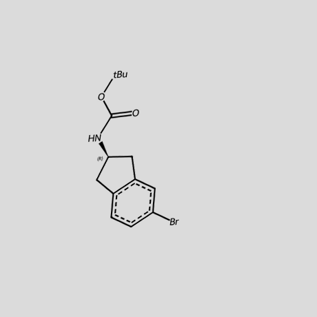 CC(C)(C)OC(=O)N[C@@H]1Cc2ccc(Br)cc2C1